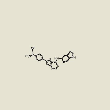 NC(c1ccc(-c2cc3ncnc(Nc4ccc5[nH]ccc5c4)c3s2)cc1)C1CC1